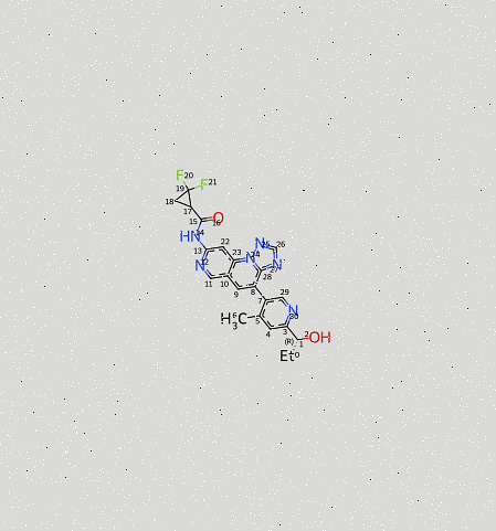 CC[C@@H](O)c1cc(C)c(-c2cc3cnc(NC(=O)C4CC4(F)F)cc3n3ncnc23)cn1